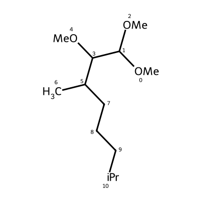 COC(OC)C(OC)C(C)CCCC(C)C